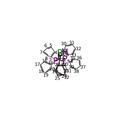 [Br][Ir]([PH](c1ccccc1)(c1ccccc1)c1ccccc1)[PH](c1ccccc1)(c1ccccc1)c1ccccc1